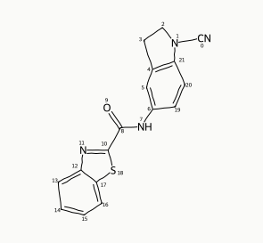 N#CN1CCc2cc(NC(=O)c3nc4ccccc4s3)ccc21